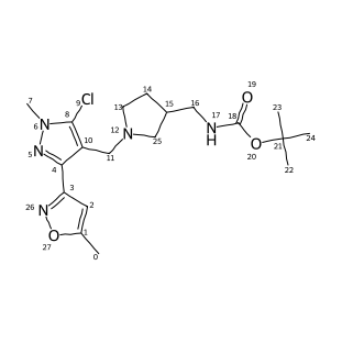 Cc1cc(-c2nn(C)c(Cl)c2CN2CCC(CNC(=O)OC(C)(C)C)C2)no1